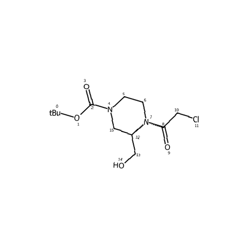 CC(C)(C)OC(=O)N1CCN(C(=O)CCl)C(CO)C1